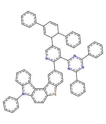 C1=CC(c2ccccc2)C(c2cnc(-c3ccc4sc5ccc6c(c7ccccc7n6-c6ccccc6)c5c4c3)c(-c3nc(-c4ccccc4)nc(-c4ccccc4)n3)c2)C=C1c1ccccc1